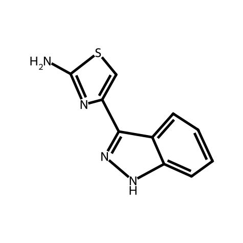 Nc1nc(-c2n[nH]c3ccccc23)cs1